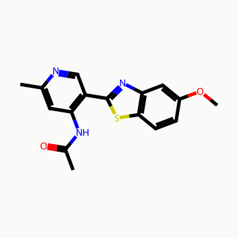 COc1ccc2sc(-c3cnc(C)cc3NC(C)=O)nc2c1